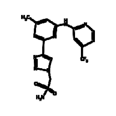 Cc1cc(Nc2cc(C(F)(F)F)ccn2)nc(-c2cn(CS(N)(=O)=O)nn2)c1